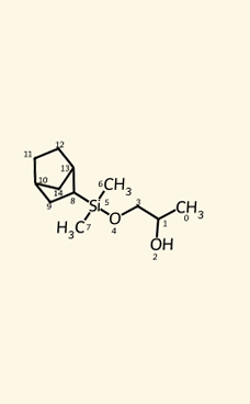 CC(O)CO[Si](C)(C)C1CC2CCC1C2